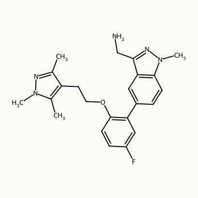 Cc1nn(C)c(C)c1CCOc1ccc(F)cc1-c1ccc2c(c1)c(CN)nn2C